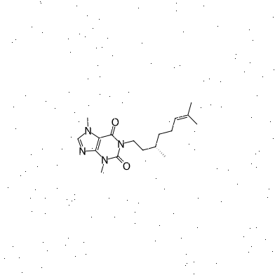 CC(C)=CCC[C@H](C)CCn1c(=O)c2c(ncn2C)n(C)c1=O